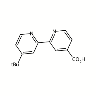 CC(C)(C)c1ccnc(-c2cc(C(=O)O)ccn2)c1